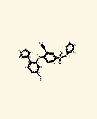 N#Cc1cc(S(=O)(=O)Nc2nccs2)ccc1Oc1cc(Cl)ccc1-c1ccn[nH]1